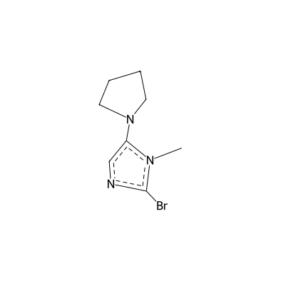 Cn1c(N2CCCC2)cnc1Br